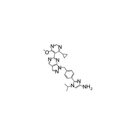 COc1ncnc(C2CC2)c1-c1ncc2cnn(Cc3ccc(-c4nc(N)cn4C(C)C)cc3)c2n1